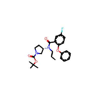 CCCN(C(=O)c1cc(F)ccc1Oc1ccccc1)[C@H]1CCN(C(=O)OC(C)(C)C)C1